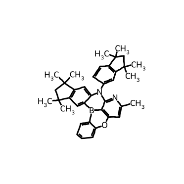 Cc1cc2c3c(n1)N(c1ccc4c(c1)C(C)(C)CC4(C)C)c1cc4c(cc1B3c1ccccc1O2)C(C)(C)CC4(C)C